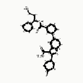 CNC(=O)c1c(-c2ccc(F)cc2)oc2ccc(-c3cccc(C(=O)NC(CCO)c4ccccc4)c3)cc12